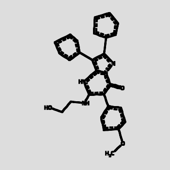 COc1ccc(-c2c(NCCO)[nH]c3c(-c4ccccc4)c(-c4ccccc4)nn3c2=O)cc1